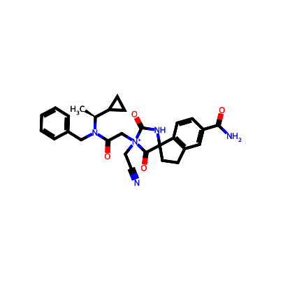 C[C@@H](C1CC1)N(Cc1ccccc1)C(=O)C[N+]1(CC#N)C(=O)NC2(CCc3cc(C(N)=O)ccc32)C1=O